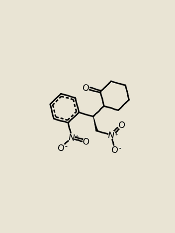 O=C1CCCCC1[C@@H](C[N+](=O)[O-])c1ccccc1[N+](=O)[O-]